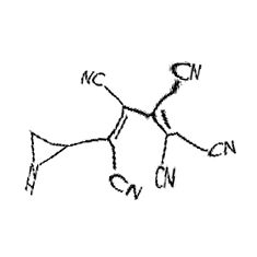 N#CC(C#N)=C(C#N)/C(C#N)=C(\C#N)C1CN1